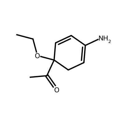 CCOC1(C(C)=O)C=CC(N)=CC1